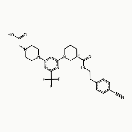 N#Cc1ccc(CCNC(=O)[C@@H]2CCCN(c3cc(N4CCN(CC(=O)O)CC4)nc(C(F)(F)F)n3)C2)cc1